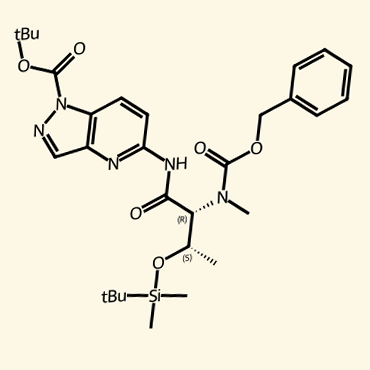 C[C@H](O[Si](C)(C)C(C)(C)C)[C@H](C(=O)Nc1ccc2c(cnn2C(=O)OC(C)(C)C)n1)N(C)C(=O)OCc1ccccc1